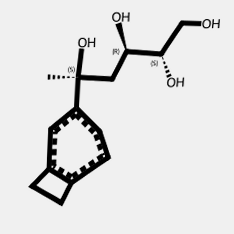 C[C@](O)(C[C@@H](O)[C@@H](O)CO)c1ccc2c(c1)CC2